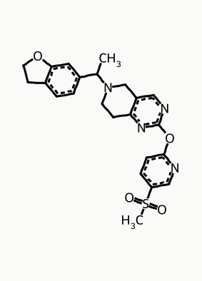 CC(c1ccc2c(c1)OCC2)N1CCc2nc(Oc3ccc(S(C)(=O)=O)cn3)ncc2C1